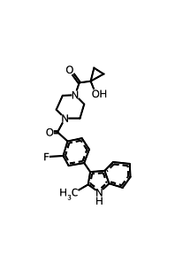 Cc1[nH]c2ccccc2c1-c1ccc(C(=O)N2CCN(C(=O)C3(O)CC3)CC2)c(F)c1